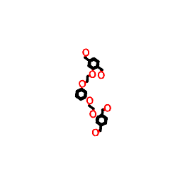 O=Cc1ccc(C=O)c(OCCOc2cccc(OCCOc3cc(C=O)ccc3C=O)c2)c1